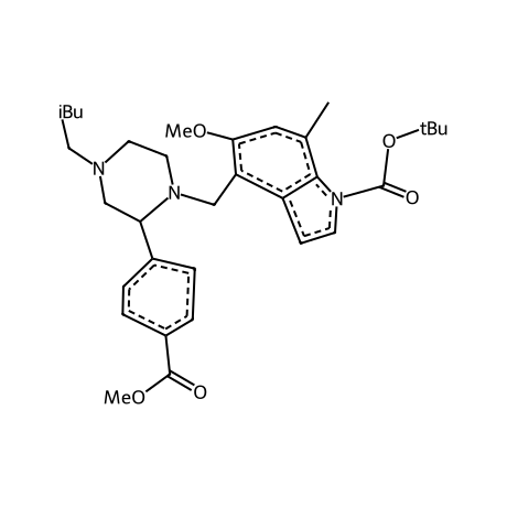 CCC(C)CN1CCN(Cc2c(OC)cc(C)c3c2ccn3C(=O)OC(C)(C)C)C(c2ccc(C(=O)OC)cc2)C1